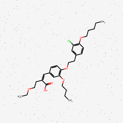 CCCCCOc1ccc(CCOc2ccc(/C=C(/CCOCC)C(=O)O)cc2OCCCC)cc1Cl